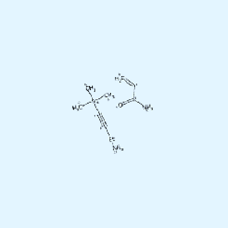 C=CC(N)=O.CCC#C[Si](C)(C)C.N